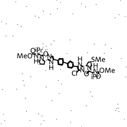 COC(=O)N[C@H](C(=O)N1CCC[C@H]1c1ncc(-c2ccc(-c3ccc(-c4[nH]c([C@@H]5C[C@H](SC)CN5C(=O)[C@@H](NC(=O)OC)C(C)C)nc4Cl)cc3)cc2)[nH]1)C(C)C